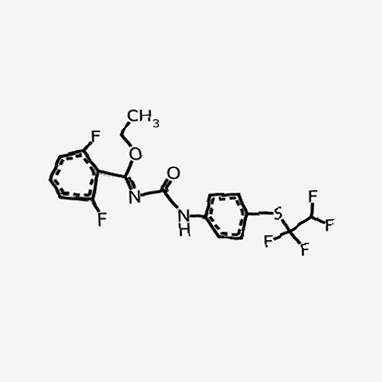 CCOC(=NC(=O)Nc1ccc(SC(F)(F)C(F)F)cc1)c1c(F)cccc1F